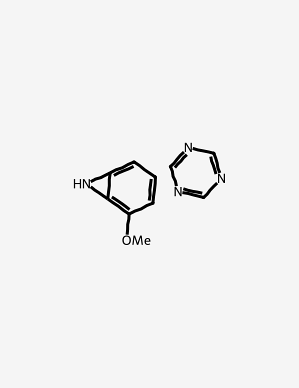 COc1cccc2c1N2.c1ncncn1